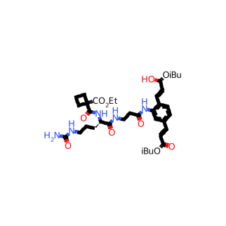 CCOC(=O)C1(C(=O)N[C@@H](CCCNC(N)=O)C(=O)NCCC(=O)Nc2cc(/C=C/C(=O)OCC(C)C)ccc2/C=C/C(O)OCC(C)C)CCC1